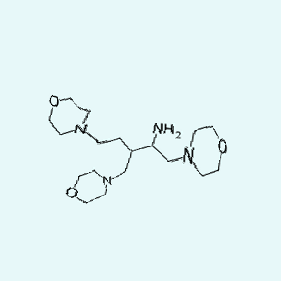 NC(CN1CCOCC1)C(CCN1CCOCC1)CN1CCOCC1